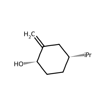 C=C1C[C@H](C(C)C)CC[C@@H]1O